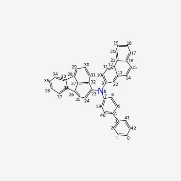 c1ccc(-c2ccc(N(c3ccc4c(ccc5ccccc54)c3)c3ccc4c5c(cccc35)-c3ccccc3-4)cc2)cc1